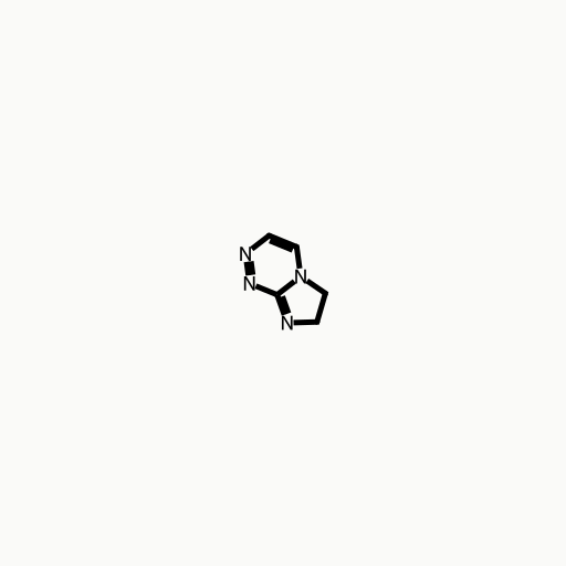 C1=CN2CCN=C2N=N1